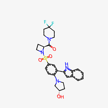 O=C([C@@H]1CCN1S(=O)(=O)c1ccc(N2CC[C@H](O)C2)c(-c2cc3ccccc3[nH]2)c1)N1CCC(F)(F)CC1